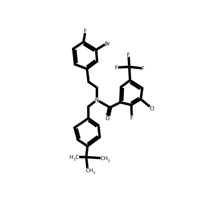 CC(C)(C)c1ccc(CN(CCc2ccc(F)c(Br)c2)C(=O)c2cc(C(F)(F)F)cc(Cl)c2F)cc1